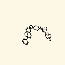 c1ccc(C2CCc3cc(OC4CCC(NCCN5CCSCC5)CC4)ccc3O2)cc1